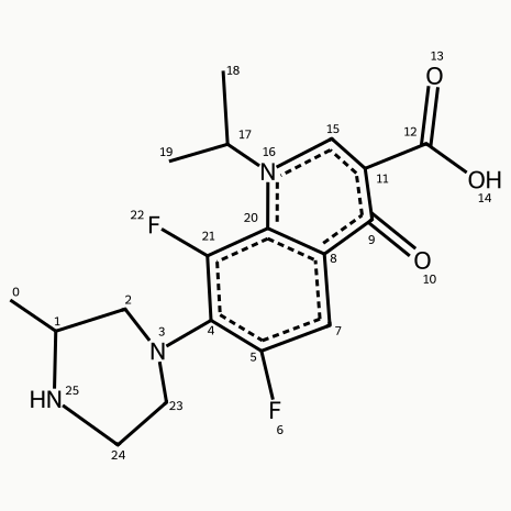 CC1CN(c2c(F)cc3c(=O)c(C(=O)O)cn(C(C)C)c3c2F)CCN1